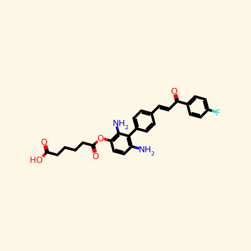 Nc1ccc(OC(=O)CCCCC(=O)O)c(N)c1-c1ccc(C=CC(=O)c2ccc(F)cc2)cc1